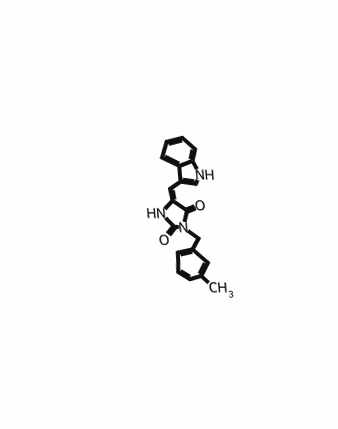 Cc1cccc(CN2C(=O)NC(=Cc3c[nH]c4ccccc34)C2=O)c1